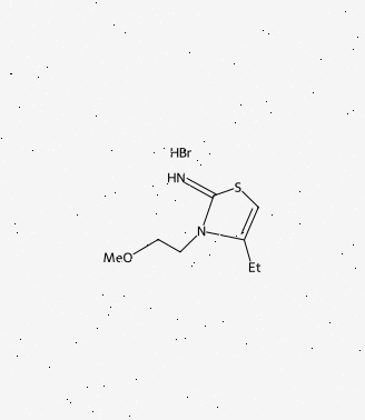 Br.CCc1csc(=N)n1CCOC